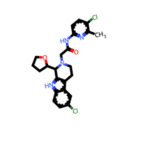 Cc1nc(NC(=O)CN2CCc3c([nH]c4ccc(Cl)cc34)C2C2CCCO2)ccc1Cl